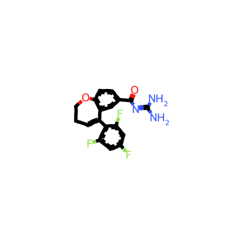 NC(N)=NC(=O)c1ccc2c(c1)C(c1c(F)cc(F)cc1F)=CCCO2